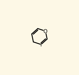 C1=COC=IC1